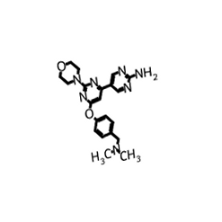 CN(C)Cc1ccc(Oc2cc(-c3cnc(N)nc3)nc(N3CCOCC3)n2)cc1